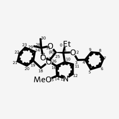 CCC(OCc1ccccc1)(c1ccnc(OC)c1OCc1ccccc1)[C@H]1COC(C)(C)O1